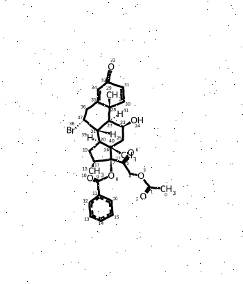 CC(=O)OCC(=O)[C@]1(OC(=O)c2ccccc2)[C@@H](C)C[C@H]2[C@H]3[C@H]([C@@H](O)C[C@@]21C)[C@@]1(C)C=CC(=O)C=C1C[C@H]3Br